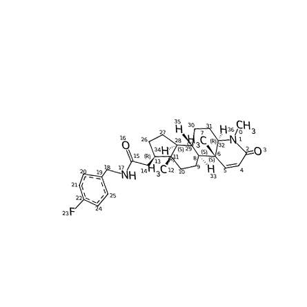 CN1C(=O)C=C[C@]2(C)[C@H]3CC[C@]4(C)[C@@H](CC(=O)NCc5ccc(F)cc5)CC[C@H]4[C@@H]3CC[C@@H]12